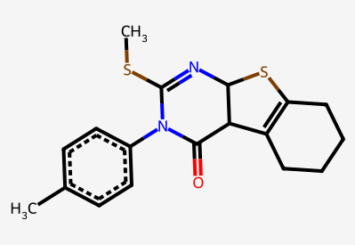 CSC1=NC2SC3=C(CCCC3)C2C(=O)N1c1ccc(C)cc1